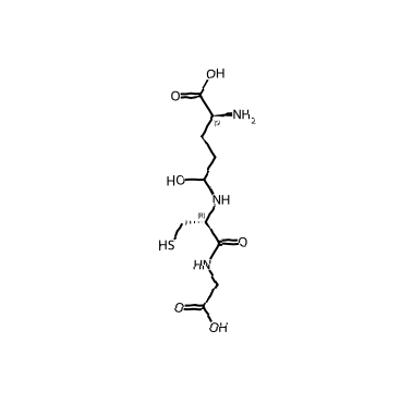 N[C@@H](CCC(O)N[C@@H](CS)C(=O)NCC(=O)O)C(=O)O